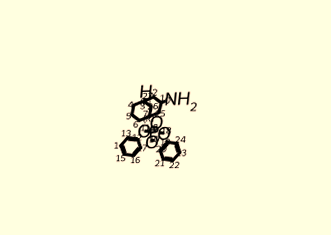 NC1C[C@H]2CCC[C@](OP(=O)(Oc3ccccc3)Oc3ccccc3)(C1)C2